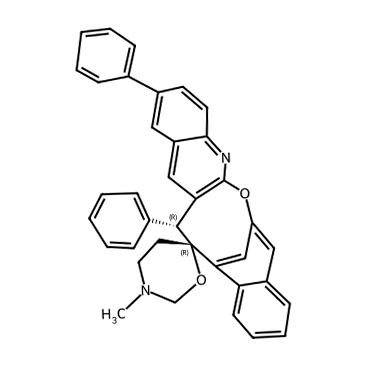 CN1CC[C@]2(OC1)c1cc(cc3ccccc13)Oc1nc3ccc(-c4ccccc4)cc3cc1[C@H]2c1ccccc1